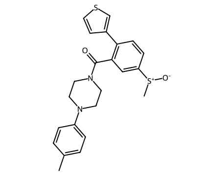 Cc1ccc(N2CCN(C(=O)c3cc([S+](C)[O-])ccc3-c3ccsc3)CC2)cc1